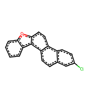 Clc1ccc2c(ccc3c2ccc2oc4ccccc4c23)c1